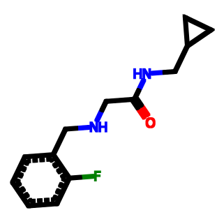 O=C(CNCc1ccccc1F)NCC1CC1